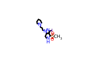 CS(=O)(=O)C1NCCc2c1c(I)nn2CCCN1CCCCC1